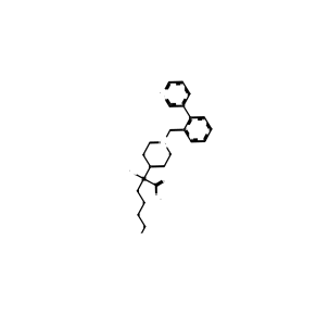 BCCCCC(N)(C(=O)O)C1CCN(Cc2ccccc2-c2cccnc2)CC1